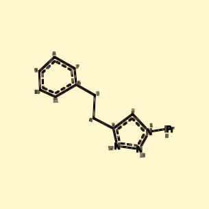 CC(C)n1cc(CCc2ccccc2)nn1